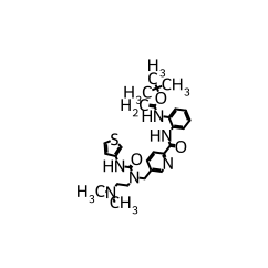 C=C(Nc1ccccc1NC(=O)c1ccc(CN(CCN(C)C)C(=O)Nc2ccsc2)cn1)OC(C)(C)C